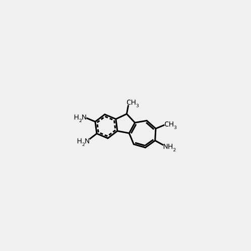 CC1=CC2=C(C=C=C1N)c1cc(N)c(N)cc1C2C